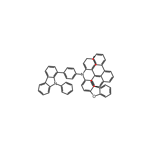 CC1C=C(c2cccc3cccc(-c4ccccc4)c23)C(N(c2ccc(-c3cccc4c5ccccc5n(-c5ccccc5)c34)cc2)c2ccc3oc4ccccc4c3c2)=CC1